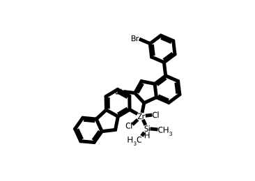 CCC1=Cc2c(-c3cccc(Br)c3)cccc2[CH]1[Zr]([Cl])([Cl])([c]1cccc2c1Cc1ccccc1-2)[SiH](C)C